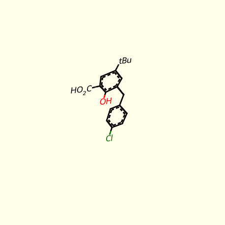 CC(C)(C)c1cc(Cc2ccc(Cl)cc2)c(O)c(C(=O)O)c1